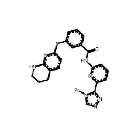 CC(C)n1cnnc1-c1cccc(NC(=O)c2cccc(Sc3ccc4c(n3)NCCC4)c2)n1